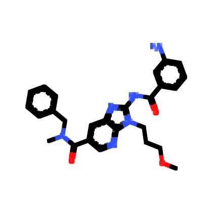 COCCCn1c(NC(=O)c2cccc(N)c2)nc2cc(C(=O)N(C)Cc3ccccc3)cnc21